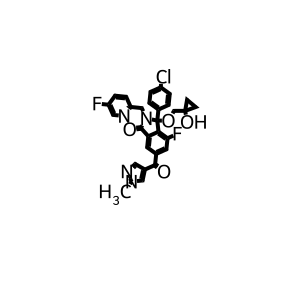 Cn1cc(C(=O)c2cc(F)c3c(c2)C(=O)N(Cc2ccc(F)cn2)C3(OCC2(O)CC2)c2ccc(Cl)cc2)cn1